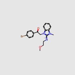 COCC/N=c1/n(C)c2ccccc2n1CC(=O)c1ccc(Br)cc1